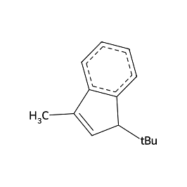 CC1=CC(C(C)(C)C)c2ccccc21